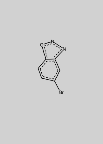 Brc1ccc2onnc2c1